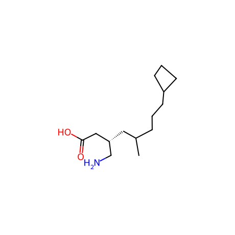 CC(CCCC1CCC1)C[C@H](CN)CC(=O)O